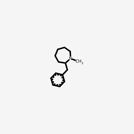 CN1CCCCCC1Cc1ccccc1